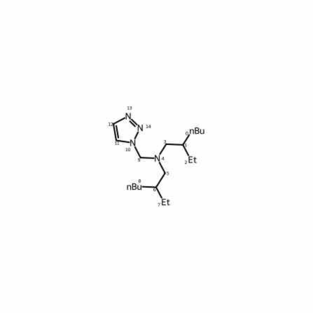 CCCCC(CC)CN(CC(CC)CCCC)Cn1ccnn1